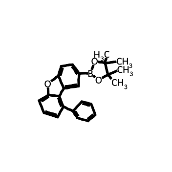 CC1(C)OB(c2ccc3oc4cccc(-c5ccccc5)c4c3c2)OC1(C)C